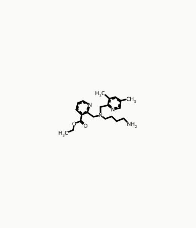 CCOC(=O)c1cccnc1CN(CCCCN)Cc1ncc(C)cc1C